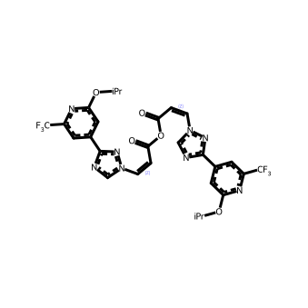 CC(C)Oc1cc(-c2ncn(/C=C\C(=O)OC(=O)/C=C\n3cnc(-c4cc(OC(C)C)nc(C(F)(F)F)c4)n3)n2)cc(C(F)(F)F)n1